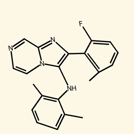 Cc1cccc(C)c1Nc1c(-c2c(C)cccc2F)nc2cnccn12